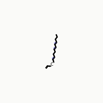 C=CC=C=C/C=C/CC/C=C/C=C/CCC